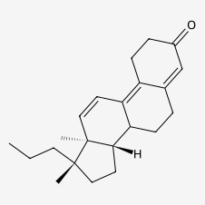 CCC[C@@]1(C)CC[C@H]2C3CCC4=CC(=O)CCC4=C3C=C[C@@]21C